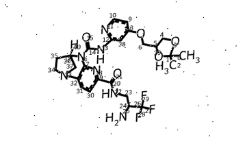 CC1(C)OCC(COc2ccnc(NC(=O)N3c4nc(C(=O)NCC(N)C(F)(F)F)ccc4N4CC[C@H]3C4)c2)O1